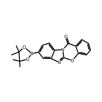 CC1(C)OB(c2ccc3c(c2)nc2oc4ccccc4c(=O)n23)OC1(C)C